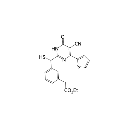 CCOC(=O)Cc1cccc(C(S)c2nc(-c3cccs3)c(C#N)c(=O)[nH]2)c1